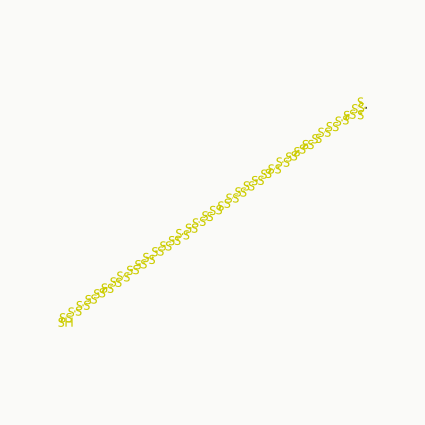 CS(=S)(=S)SSSSSSSSSSSSSSSSSSSSSSSSSSSSSSSSSSSSSSSSSSSSSSSSSSSSSSSSSSSSSSSSSSSSSSSS